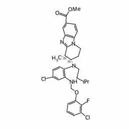 COC(=O)c1ccc2c(c1)nc1n2CC[C@H](N(CCC(C)C)c2ccc(Cl)cc2NCOc2cccc(Cl)c2F)[C@@H]1C